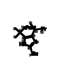 CCCCCC(C)(C)c1[nH]c(C(C)CC)nc1C(C)C(C)C